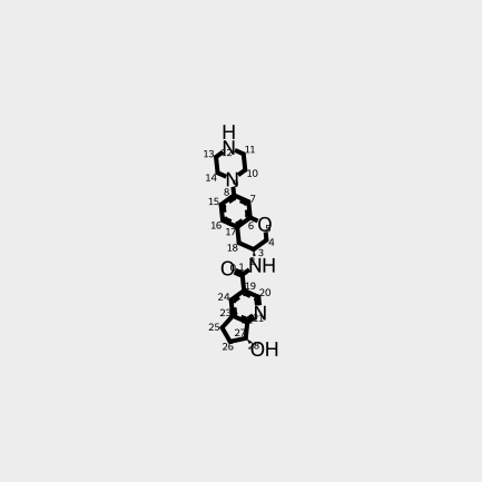 O=C(N[C@H]1COc2cc(N3CCNCC3)ccc2C1)c1cnc2c(c1)CC[C@H]2O